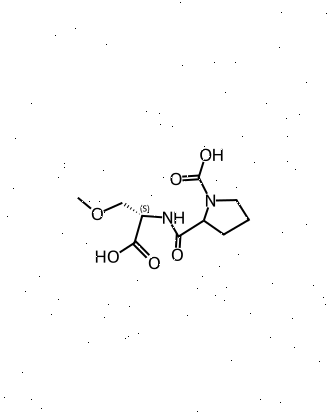 COC[C@H](NC(=O)C1CCCN1C(=O)O)C(=O)O